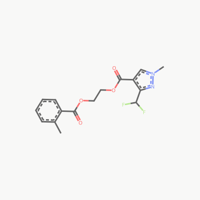 Cc1ccccc1C(=O)OCCOC(=O)c1cn(C)nc1C(F)F